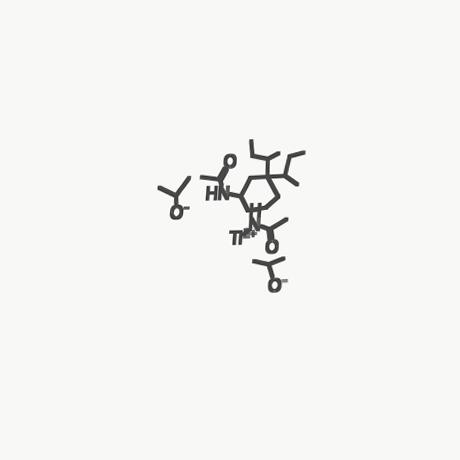 CC(=O)[NH][Ti+2].CC(C)[O-].CC(C)[O-].CCC(C)C1(C(C)CC)CCCC(NC(C)=O)C1